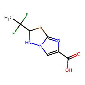 CC(F)(F)C1Nn2cc(C(=O)O)nc2S1